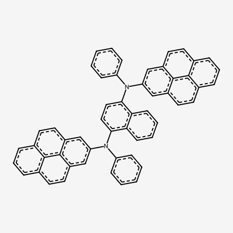 c1ccc(N(c2cc3ccc4cccc5ccc(c2)c3c45)c2ccc(N(c3ccccc3)c3cc4ccc5cccc6ccc(c3)c4c56)c3ccccc23)cc1